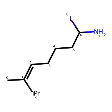 C/C(=C/CCCC(N)I)C(C)C